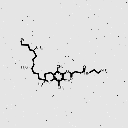 Cc1c(C)c2c(c(C)c1OC(=O)CCC(=O)NCCN)CC[C@@](C)(CCC[C@H](C)CCC[C@H](C)CCCC(C)C)O2